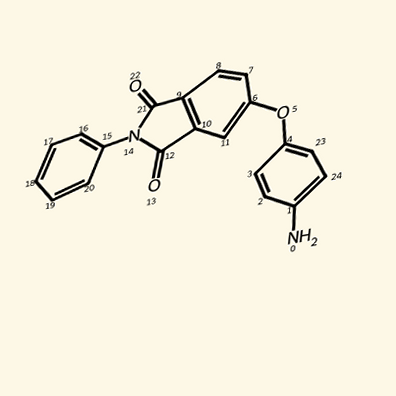 Nc1ccc(Oc2ccc3c(c2)C(=O)N(c2ccccc2)C3=O)cc1